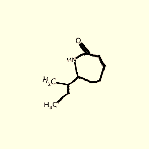 CCC(C)C1CCCCC(=O)N1